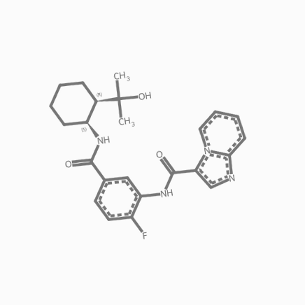 CC(C)(O)[C@@H]1CCCC[C@@H]1NC(=O)c1ccc(F)c(NC(=O)c2cnc3ccccn23)c1